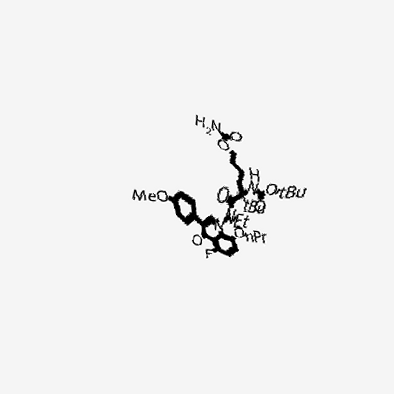 CCCOc1ccc(F)c2c(=O)c(-c3ccc(OC)cc3)cn(N(CC)C(=O)[C@@](CCCCOC(N)=O)(NC(=O)OC(C)(C)C)C(C)(C)C)c12